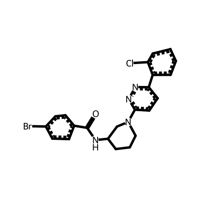 O=C(NC1CCCN(c2ccc(-c3ccccc3Cl)nn2)C1)c1ccc(Br)cc1